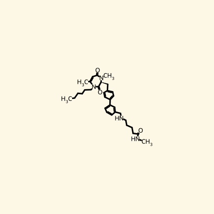 CCCCCCN1C(=O)[C@H](Cc2ccc(-c3cccc(CNCCCCC(=O)NC)c3)cc2)N(C)C(=O)C=C1C